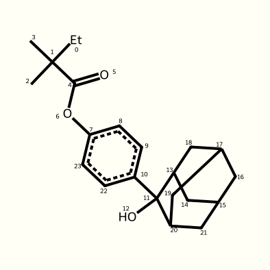 CCC(C)(C)C(=O)Oc1ccc(C2(O)C3CC4CC(C3)CC2C4)cc1